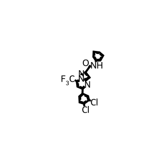 O=C(Nc1ccccc1)c1cc2nc(-c3ccc(Cl)c(Cl)c3)cc(C(F)(F)F)n2n1